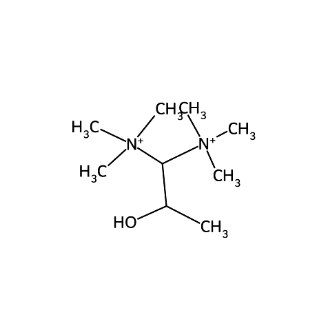 CC(O)C([N+](C)(C)C)[N+](C)(C)C